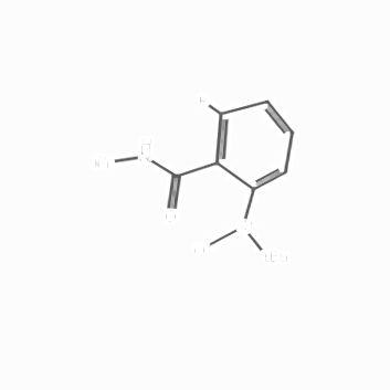 CC(C)NC(=O)c1c(F)cccc1[S+]([O-])C(C)(C)C